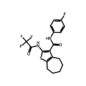 O=C(Nc1ccc(F)cc1)c1c(NC(=O)C(F)(F)F)sc2c1CCCCC2